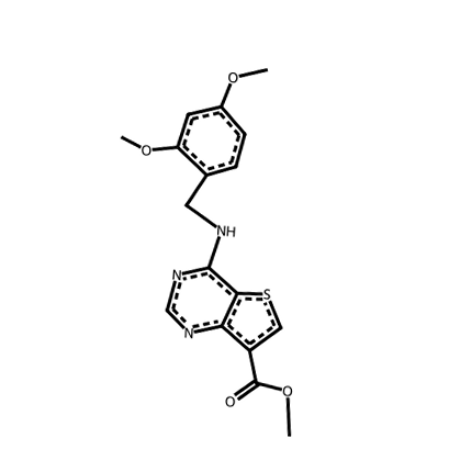 COC(=O)c1csc2c(NCc3ccc(OC)cc3OC)ncnc12